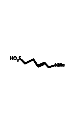 CNCC=CCCS(=O)(=O)O